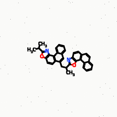 CC(C)c1nc2c(ccc3c(CC(C)c4nc5ccc6ccc7ccccc7c6c5o4)cc4ccccc4c32)o1